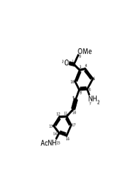 COC(=O)c1ccc(N)c(C#Cc2ccc(NC(C)=O)cc2)c1